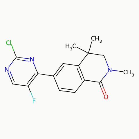 CN1CC(C)(C)c2cc(-c3nc(Cl)ncc3F)ccc2C1=O